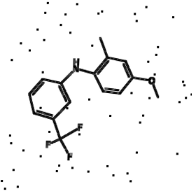 COc1ccc(Nc2cccc(C(F)(F)F)c2)c(C)c1